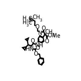 COC(=O)[C@@]1(C)C(=O)N(COCC[Si](C)(C)C)c2cc(NC(=O)[C@@H](NC(=O)OCc3ccccc3)C(C3CC3)C3CC3)ccc21